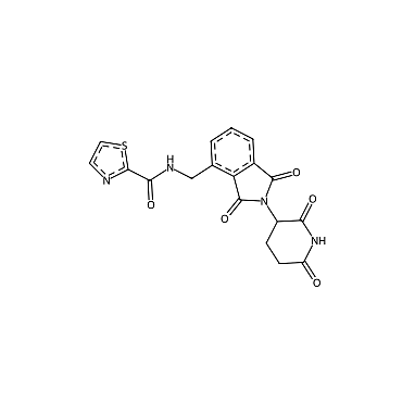 O=C1CCC(N2C(=O)c3cccc(CNC(=O)c4nccs4)c3C2=O)C(=O)N1